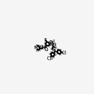 CS(=O)(=O)N(c1cc(F)cc(C(=O)NCc2ccncc2)c1)C1CN(C(c2ccc(Cl)cc2)c2ccc(Cl)cc2)C1